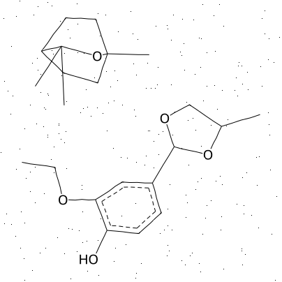 CC12CCC(CC1)C(C)(C)O2.CCOc1cc(C2OCC(C)O2)ccc1O